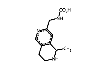 CC1NCCc2cnc(CNC(=O)O)cc21